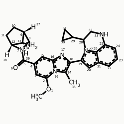 COc1cc(C(=O)N2C[C@H]3CC[C@@H]2[C@@H]3N)cc2nc(-c3cc4cccc5c4n3C(C3CC3)CN5)c(C)n12